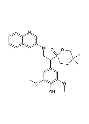 COc1cc(C(CNc2cnc3ccccc3c2)P2(=O)CCC(C)(C)CO2)cc(OC)c1O